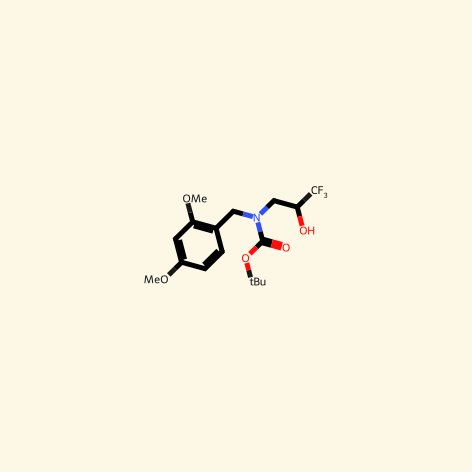 COc1ccc(CN(CC(O)C(F)(F)F)C(=O)OC(C)(C)C)c(OC)c1